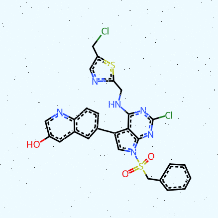 O=S(=O)(Cc1ccccc1)n1cc(-c2ccc3ncc(O)cc3c2)c2c(NCc3ncc(CCl)s3)nc(Cl)nc21